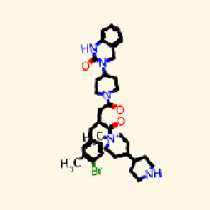 Cc1cc(CC(CC(=O)N2CCC(N3Cc4ccccc4NC3=O)CC2)C(=O)[N+]2(C)CCC(C3CCNCC3)CC2)ccc1Br